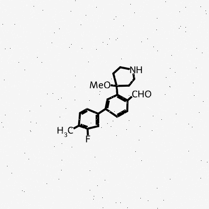 COC1(c2cc(-c3ccc(C)c(F)c3)ccc2C=O)CCNCC1